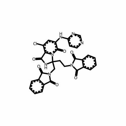 O=C1NC(CCN2C(=O)c3ccccc3C2=O)(CN2C(=O)c3ccccc3C2=O)n2c1c(Cl)cc(Nc1ccncn1)c2=O